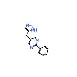 c1ccc(-c2ncc(Cc3cnc[nH]3)cn2)cc1